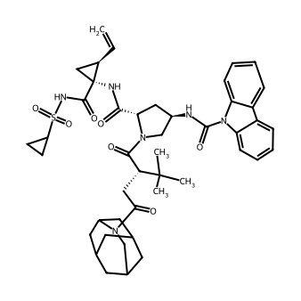 C=C[C@@H]1C[C@]1(NC(=O)[C@@H]1C[C@@H](NC(=O)n2c3ccccc3c3ccccc32)CN1C(=O)[C@@H](CC(=O)N1CC2CC3CC(C2)CC1C3)C(C)(C)C)C(=O)NS(=O)(=O)C1CC1